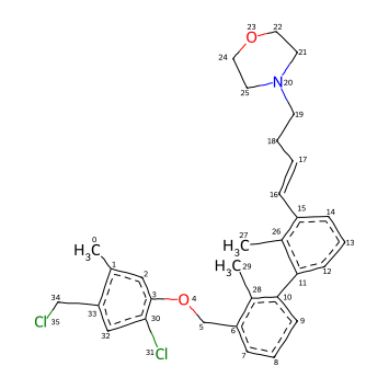 Cc1cc(OCc2cccc(-c3cccc(/C=C/CCN4CCOCC4)c3C)c2C)c(Cl)cc1CCl